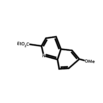 CCOC(=O)c1ccc2cc(OC)ccc2n1